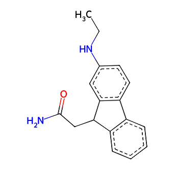 CCNc1ccc2c(c1)C(CC(N)=O)c1ccccc1-2